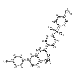 Cc1ccc(S(=O)(=O)c2ccc(C(=O)Nc3cc(-c4ccc(F)cc4)ccc3N)cc2)nc1